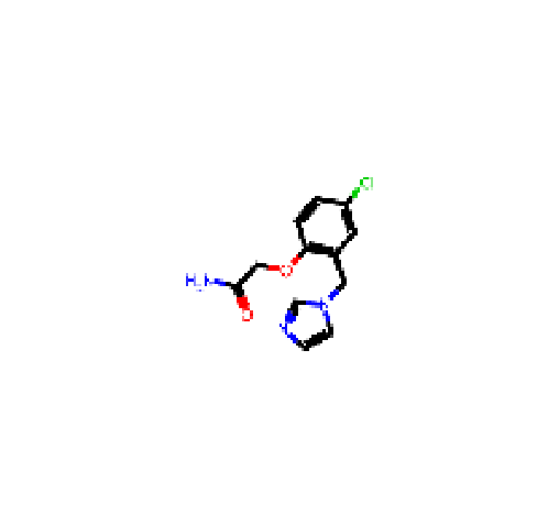 NC(=O)COc1ccc(Cl)cc1Cn1ccnc1